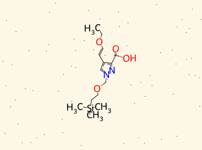 CCOC=Cc1cn(COCC[Si](C)(C)C)nc1C(=O)O